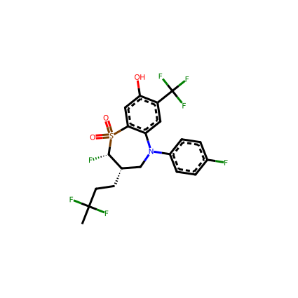 CC(F)(F)CC[C@H]1CN(c2ccc(F)cc2)c2cc(C(F)(F)F)c(O)cc2S(=O)(=O)[C@H]1F